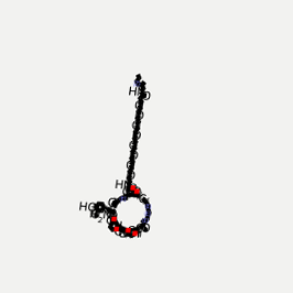 C=C(/C=C\CC)CNC(=O)CCOCCOCCOCCOCCOCCOCCOCCOCCNC(=O)O[C@@H]1/C(C)=C/[C@@H](C)C(=O)C[C@@H]([C@H](N)C[C@@H]2CC[C@@H](O)[C@H](OC)C2)OC(=O)[C@@H]2CCCCN2C(=O)C(=O)[C@]2(O)O[C@@H](CC[C@H]2C)C[C@H](OC)/C(C)=C/C=C/C=C/[C@@H](C)C[C@@H](C)C(=O)[C@@H]1OC